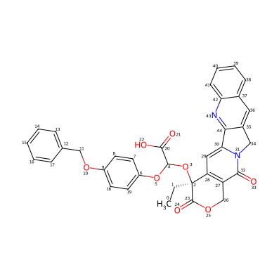 CC[C@@]1(OC(Oc2ccc(OCc3ccccc3)cc2)C(=O)O)C(=O)OCc2c1cc1n(c2=O)Cc2cc3ccccc3nc2-1